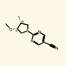 CO[C@H]1CN(c2ncc(C#N)cn2)C[C@H]1C